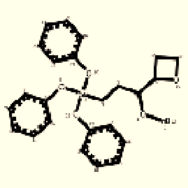 CCCCOC(CC[Si](Oc1ccccc1)(Oc1ccccc1)Oc1ccccc1)C1CCO1